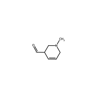 CN1CC=CC([C]=O)C1